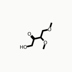 COCC(OC)C(=O)CO